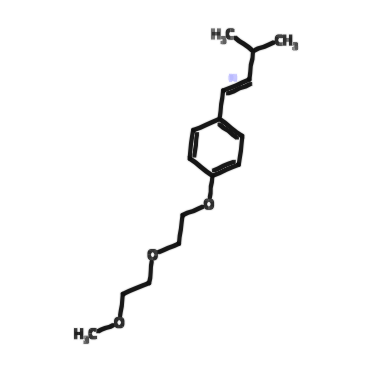 COCCOCCOc1ccc(/C=C/C(C)C)cc1